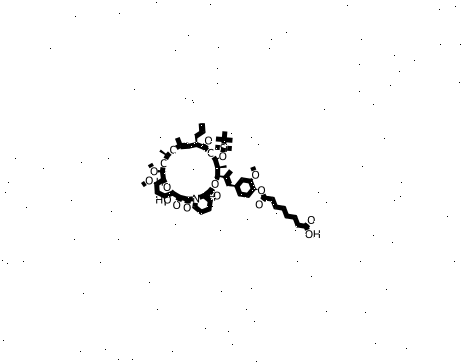 C=CC[C@@H]1/C=C(\C)C[C@H](C)C[C@H](OC)[C@H]2O[C@@](O)(C(=O)C(=O)N3CCCC[C@H]3C(=O)O[C@H](/C(C)=C/[C@@H]3CC[C@@H](OC(=O)CCCCCCC(=O)O)[C@H](OC)C3)[C@H](C)[C@@H](O[Si](C)(C)C(C)(C)C)CC1=O)[C@H](C)C[C@@H]2OC